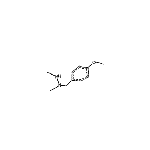 CNN(C)Cc1ccc(OC)cc1